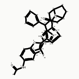 CC(=O)Nc1ccc2oc(-c3ccnc(C(=O)N4C5CCC4CN(C(c4ccccc4)c4nnn(C(F)F)n4)C5)c3)nc2c1